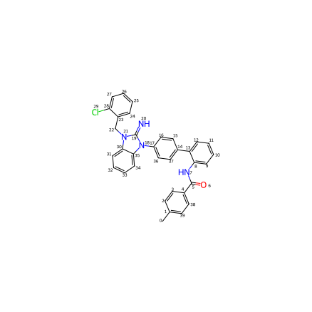 Cc1ccc(C(=O)Nc2ccccc2-c2ccc(-n3c(=N)n(Cc4ccccc4Cl)c4ccccc43)cc2)cc1